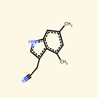 Cc1cc(C)c2c(CC#N)c[nH]c2c1